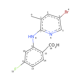 Cc1cc(Br)cnc1Nc1cc(F)ccc1C(=O)O